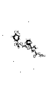 Cc1ccc(S(=O)(=O)OCCOC2(c3nccs3)CCN(C(=O)OC(C)(C)C)C2)cc1